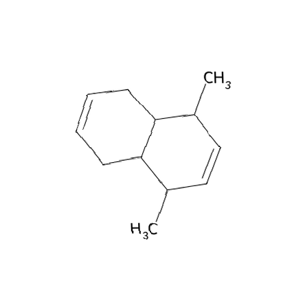 CC1C=CC(C)C2CC=CCC12